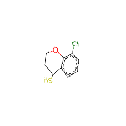 SC1CCOc2c(Cl)cccc21